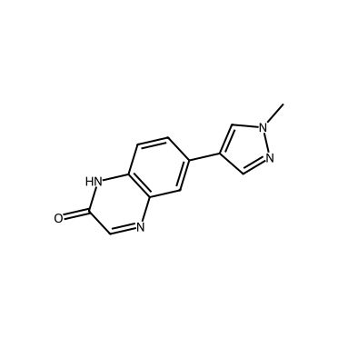 Cn1cc(-c2ccc3[nH]c(=O)cnc3c2)cn1